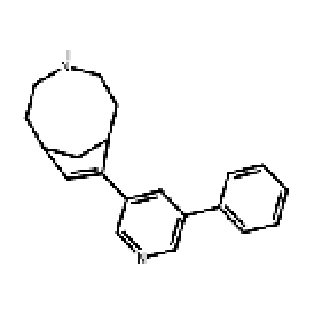 C1=C(c2cncc(-c3ccccc3)c2)C2CCNCCC1C2